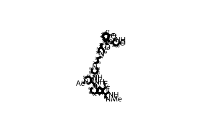 CNCC(C=N)c1cc2c(cc1C(F)F)N(C(=N)C1=C(NC3CCN(CCCCN4CCC(Cn5c(=O)n(C6CCC(=O)NC6=O)c6ccccc65)CC4)CC3)CCN(C(C)=O)C1)CCC2